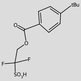 CC(C)(C)c1ccc(C(=O)OCC(F)(F)S(=O)(=O)O)cc1